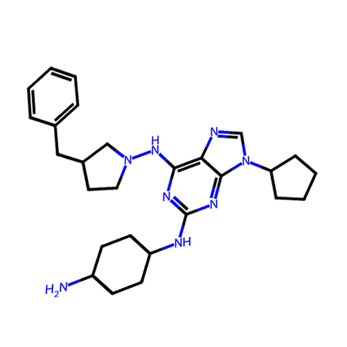 NC1CCC(Nc2nc(NN3CCC(Cc4ccccc4)C3)c3ncn(C4CCCC4)c3n2)CC1